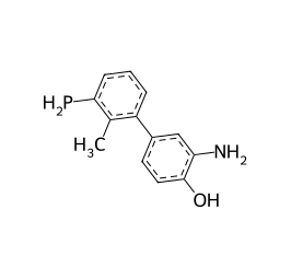 Cc1c(P)cccc1-c1ccc(O)c(N)c1